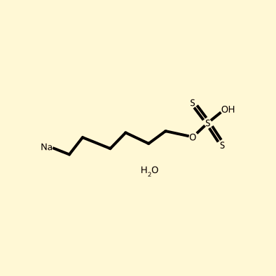 O.OS(=S)(=S)OCCCCC[CH2][Na]